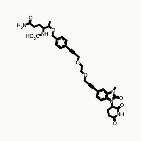 CC(OCc1ccc(C#CCOCCOCC#Cc2ccc3c(c2)n(C)c(=O)n3C2CCC(=O)NC2=O)cc1)C(CCC(N)=O)NC(=O)O